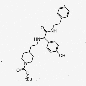 CC(C)(C)OC(=O)N1CCC(CCNC(C(=O)NCCc2ccncc2)c2ccc(O)cc2)CC1